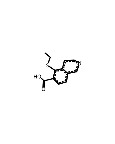 CCSc1c(C(=O)O)ccc2cnccc12